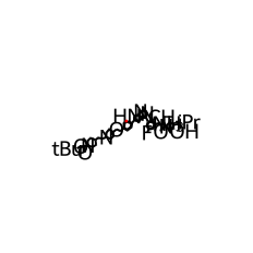 Cc1c(NC(=O)N2C[C@@H](CC(C)C)[C@H](O)C2)cc(F)cc1-c1ncnc2[nH]c(-c3ccc(COC4CCN(CCC5CCN(C(=O)OC(C)(C)C)CC5)CC4)cc3)cc12